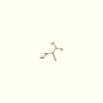 CCCCNC(=O)N(S)CC